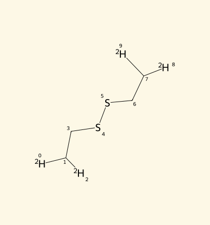 [2H]C([2H])CSSCC([2H])[2H]